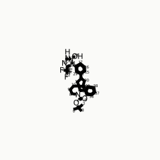 CC(C)(C)OC(=O)N1CCCC2(CC(c3cccc(N4C(C(F)(F)F)=NNN4O)c3)CC2=O)C1c1ccccc1